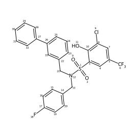 O=S(=O)(c1cc(C(F)(F)F)cc(Cl)c1O)N(Cc1ccc(F)cc1)Cc1cccc(-c2ccccc2)c1